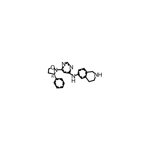 c1ccc([C@H]2CCON2c2cc(Nc3ccc4c(c3)CCNC4)ncn2)cc1